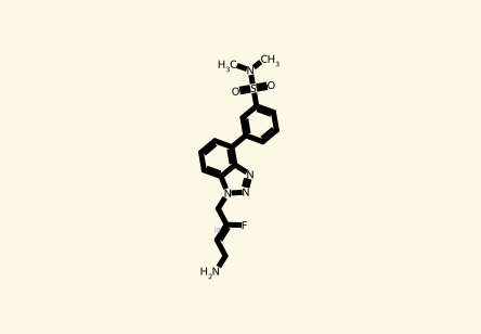 CN(C)S(=O)(=O)c1cccc(-c2cccc3c2nnn3C/C(F)=C/CN)c1